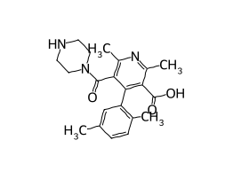 Cc1ccc(C)c(-c2c(C(=O)O)c(C)nc(C)c2C(=O)N2CCNCC2)c1